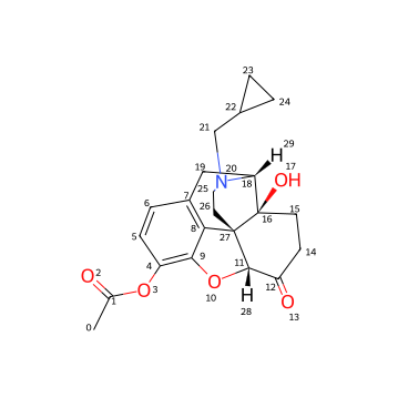 CC(=O)Oc1ccc2c3c1O[C@H]1C(=O)CC[C@@]4(O)[C@@H](C2)N(CC2CC2)CC[C@]314